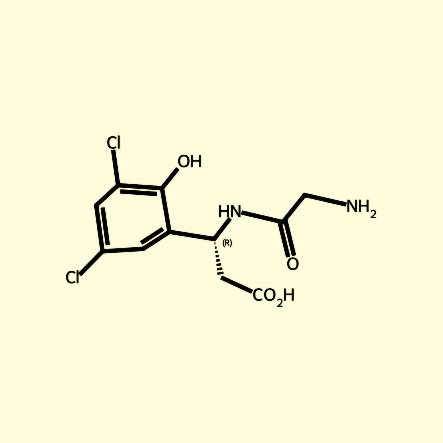 NCC(=O)N[C@H](CC(=O)O)c1cc(Cl)cc(Cl)c1O